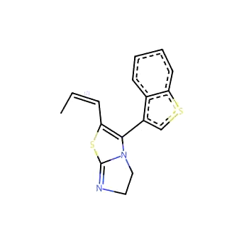 C/C=C\C1=C(c2csc3ccccc23)N2CCN=C2S1